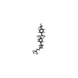 COC(=O)CCc1ncc(-c2ccc(NC(=O)c3ccc(C(C)(C)C)cc3)cc2)s1